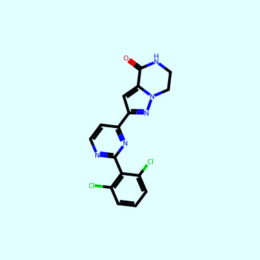 O=C1NCCn2nc(-c3ccnc(-c4c(Cl)cccc4Cl)n3)cc21